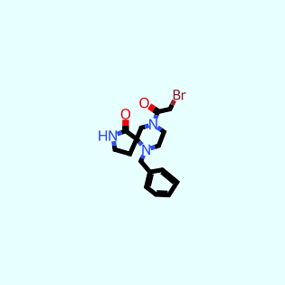 O=C(CBr)N1CCN(Cc2ccccc2)C2(CCNC2=O)C1